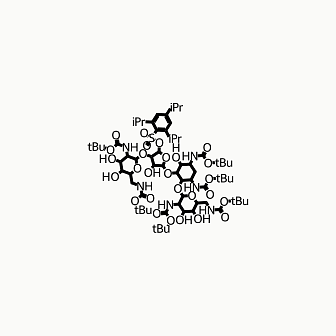 CC(C)c1cc(C(C)C)c(S(=O)(=O)OC2OC(OC3C(O)C(NC(=O)OC(C)(C)C)CC(NC(=O)OC(C)(C)C)C3OC3OC(CNC(=O)OC(C)(C)C)C(O)C(O)C3NC(=O)OC(C)(C)C)C(O)C2OC2OC(CNC(=O)OC(C)(C)C)C(O)C(O)C2NC(=O)OC(C)(C)C)c(C(C)C)c1